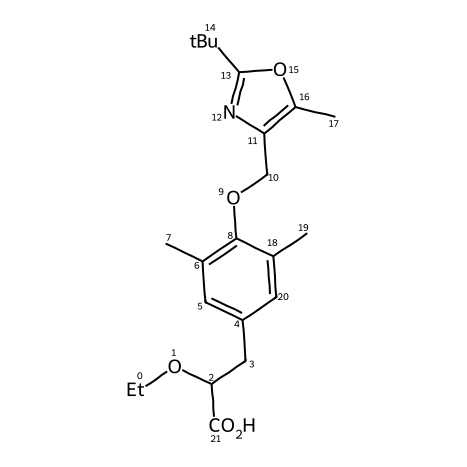 CCOC(Cc1cc(C)c(OCc2nc(C(C)(C)C)oc2C)c(C)c1)C(=O)O